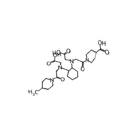 CC1CCN(C(=O)CN(CC(=O)O)C2CCCCC2N(CC(=O)O)CC(=O)N2CCC(C(=O)O)CC2)CC1